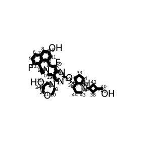 C#Cc1c(F)ccc2cc(O)cc(-c3ncc4c(N5CCOC[C@@](C)(O)C5)nc(OC[C@]56CCC[C@H]5N(C5CC(CO)C5)CCC6)nc4c3F)c12